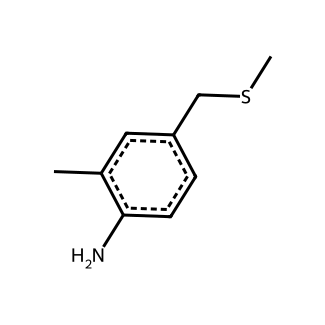 CSCc1ccc(N)c(C)c1